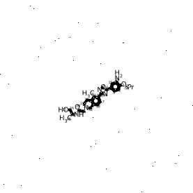 Cc1c(-c2noc(-c3ccc(OC(C)C)c(N)c3)n2)ccc2c1CCN(CC(=O)N[C@H](C)CO)C2